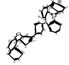 c1ccc(N(c2ccc(-c3ccc4c(c3)oc3ccc5ccccc5c34)cc2)c2cccc3c2oc2ccccc23)cc1